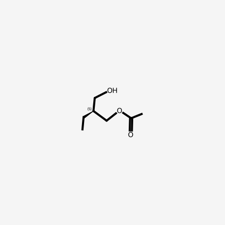 CC[C@@H](CO)COC(C)=O